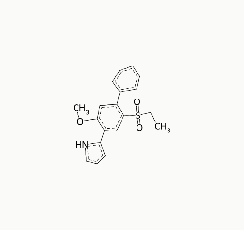 CCS(=O)(=O)c1cc(-c2ccc[nH]2)c(OC)cc1-c1ccccc1